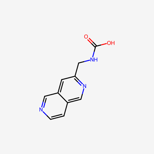 O=C(O)NCc1cc2cnccc2cn1